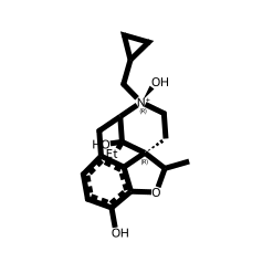 CCC1(O)C2Cc3ccc(O)c4c3[C@]1(CC[N@@+]2(O)CC1CC1)C(C)O4